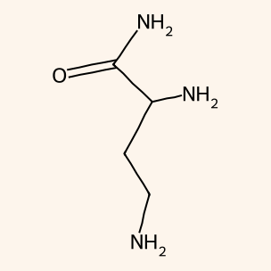 NCCC(N)C(N)=O